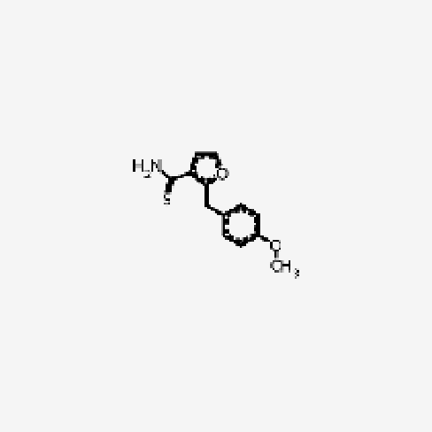 COc1ccc(Cc2occc2C(N)=S)cc1